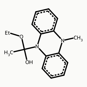 CCOC(C)(O)N1c2ccccc2N(C)c2ccccc21